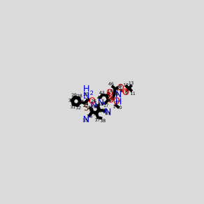 CCOC(=O)[C@@](NC(=O)OC(C)(C)C)(OC1CCN(c2nc(SC(C(N)=O)c3ccccc3)c(C#N)c(CC)c2C#N)CC1)C(C)C